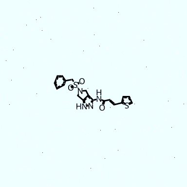 O=C(C=Cc1cccs1)Nc1n[nH]c2c1CN(S(=O)(=O)Cc1ccccc1)C2